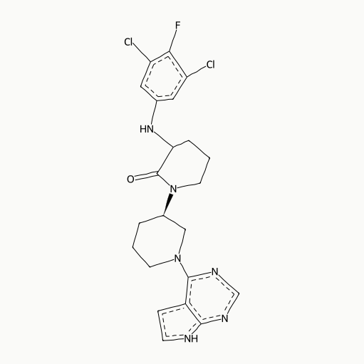 O=C1C(Nc2cc(Cl)c(F)c(Cl)c2)CCCN1[C@@H]1CCCN(c2ncnc3[nH]ccc23)C1